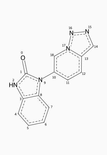 O=c1[nH]c2ccccc2n1-c1ccc2cnnn2c1